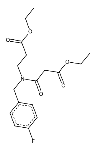 CCOC(=O)CCN(Cc1ccc(F)cc1)C(=O)CC(=O)OCC